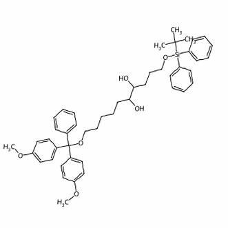 COc1ccc(C(OCCCCCC(O)C(O)CCCO[Si](c2ccccc2)(c2ccccc2)C(C)(C)C)(c2ccccc2)c2ccc(OC)cc2)cc1